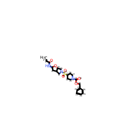 C=CC(=O)NC1CC2CN(S(=O)(=O)C3CCN(C(=O)OCc4ccccc4)CC3)CC2O1